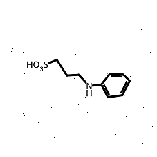 O=S(=O)(O)CCCNc1[c]cc[c]c1